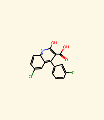 O=C(O)c1c(O)nc2ccc(Cl)cc2c1-c1cccc(Cl)c1